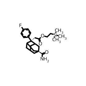 C[Si](C)(C)CCOC(=O)C[C@]1(c2ccc(F)cc2)C2CC3CC1C[C@@](C(N)=O)(C3)C2